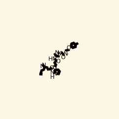 C#CCCC1(CCC(=O)Nc2ncccc2OCCC(=O)Nc2cnn(CC(=O)N(C)CCOc3ccc(C)cc3)c2)N=N1